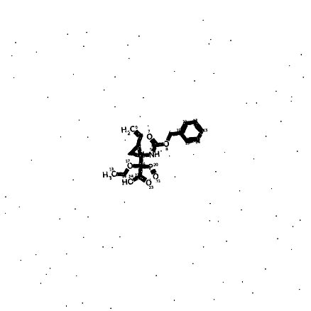 C=CC1CC1(NC(=O)OCc1ccccc1)C(OCC)(P=O)C(=O)O